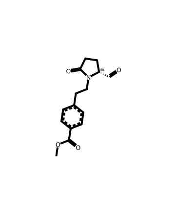 COC(=O)c1ccc(CCN2C(=O)CC[C@@H]2C=O)cc1